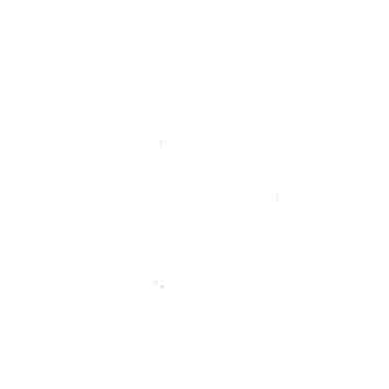 CC/C(=C\c1c(C)c(F)c(-c2ccc(NC3CCCC3)cc2)c(C)c1F)C(=O)O